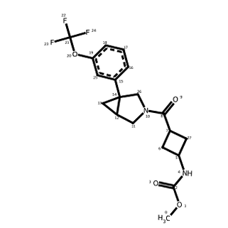 COC(=O)NC1CC(C(=O)N2CC3CC3(c3cccc(OC(F)(F)F)c3)C2)C1